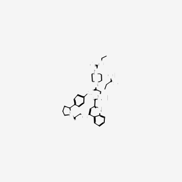 CCOC(=O)N1CCN(C(=O)[C@H](CCC(=O)O)NC(=O)c2cc(OCC(=O)N3CCCC3c3ccc(C)cc3)c3ccccc3n2)CC1